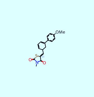 COc1ccc(C2=CC=CC(/C=C3\SC(=O)N(C)C3=O)C2)cc1